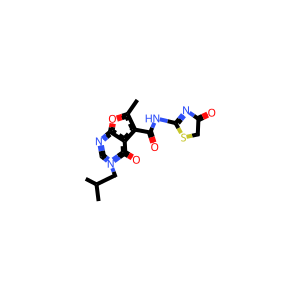 Cc1oc2ncn(CC(C)C)c(=O)c2c1C(=O)NC1=NC(=O)CS1